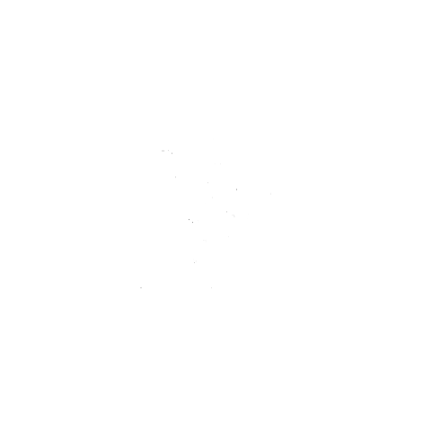 CCOC(=O)C1C[C@](C)(C(=O)OC)C(c2cccnc2)N1